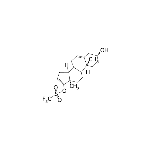 C[C@]12CC[C@H](O)CC1=CCC1[C@@H]2CC[C@]2(C)C(OS(=O)(=O)C(F)(F)F)=CC[C@@H]12